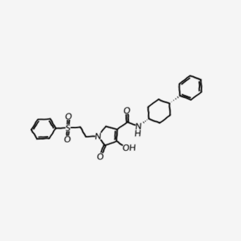 O=C(N[C@H]1CC[C@@H](c2ccccc2)CC1)C1=C(O)C(=O)N(CCS(=O)(=O)c2ccccc2)C1